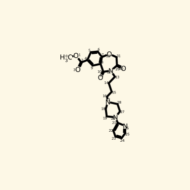 COC(=O)c1ccc2c(c1)C(=O)N(CCCCN1CCN(c3ccccn3)CC1)C(=O)CO2